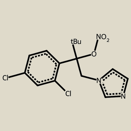 CC(C)(C)C(Cn1ccnc1)(O[N+](=O)[O-])c1ccc(Cl)cc1Cl